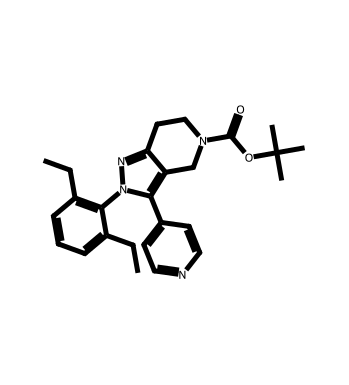 CCc1cccc(CC)c1-n1nc2c(c1-c1ccncc1)CN(C(=O)OC(C)(C)C)CC2